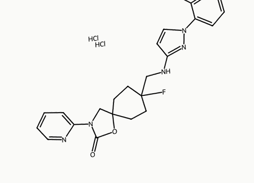 Cl.Cl.O=C1OC2(CCC(F)(CNc3ccn(-c4ccccc4F)n3)CC2)CN1c1ccccn1